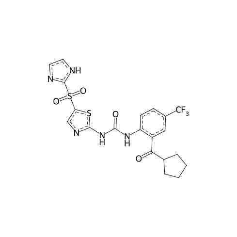 O=C(Nc1ncc(S(=O)(=O)c2ncc[nH]2)s1)Nc1ccc(C(F)(F)F)cc1C(=O)C1CCCC1